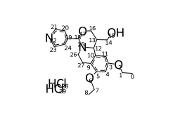 CCOc1cc(OCC)c2c(c1)C1C(CO)COC(c3ccncc3)N1CC2.Cl.Cl